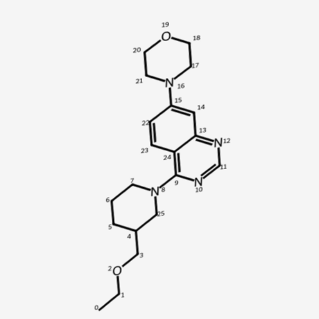 CCOCC1CCCN(c2ncnc3cc(N4CCOCC4)ccc23)C1